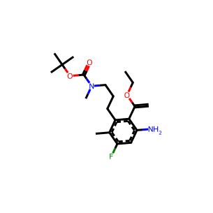 C=C(OCC)c1c(N)cc(F)c(C)c1CCCN(C)C(=O)OC(C)(C)C